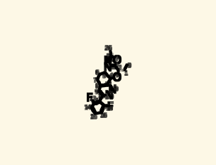 CC[C@H](OC1CCCc2cc(-c3c(F)cccc3F)nnc21)c1nnc(C)o1